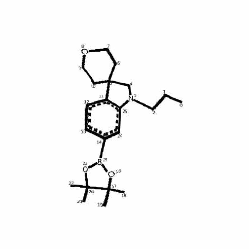 CCCN1CC2(CCOCC2)c2ccc(B3OC(C)(C)C(C)(C)O3)cc21